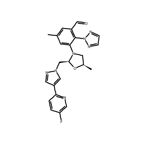 Cc1cc(C=O)c(-n2nccn2)c(N2C[C@@H](C)O[C@H]2Cn2cc(-c3ccc(F)cn3)cn2)c1